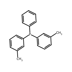 Cc1cccc(P(c2ccccc2)c2cccc(C)c2)c1